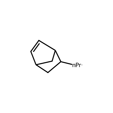 CC[CH]C1CC2C=CC1C2